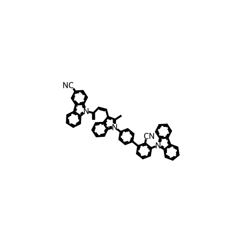 C=C(/C=C\c1c(C)n(-c2ccc(-c3cccc(-n4c5ccccc5c5ccccc54)c3C#N)cc2)c2ccccc12)n1c2ccccc2c2cc(C#N)ccc21